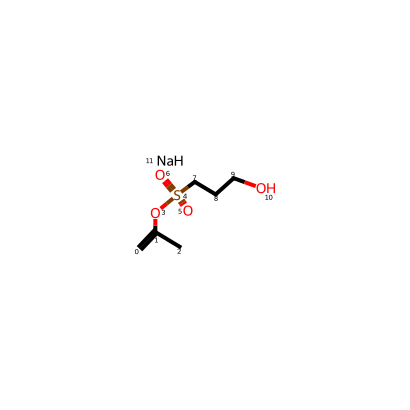 C=C(C)OS(=O)(=O)CCCO.[NaH]